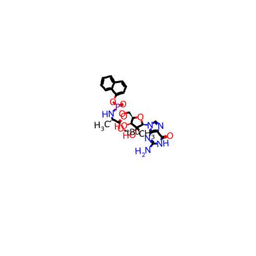 C[C@H](NP(=O)(OC[C@H]1O[C@@H](n2cnc3c(=O)[nH]c(N)nc32)C(C)(O)[C@H]1O)Oc1cccc2ccccc12)C(=O)OC(C)(C)C